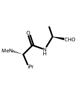 CN[C@H](C(=O)N[C@@H](C)C=O)C(C)C